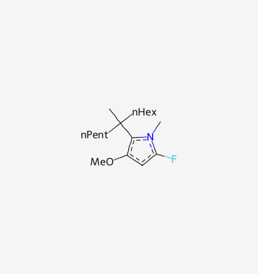 CCCCCCC(C)(CCCCC)c1c(OC)cc(F)n1C